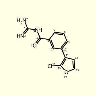 N=C(N)NC(=O)c1cccc(-c2ccoc2Cl)c1